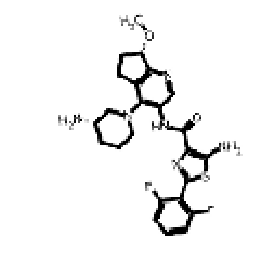 CO[C@H]1CCc2c1ncc(NC(=O)c1nc(-c3c(F)cccc3F)sc1N)c2N1CCC[C@H](N)C1